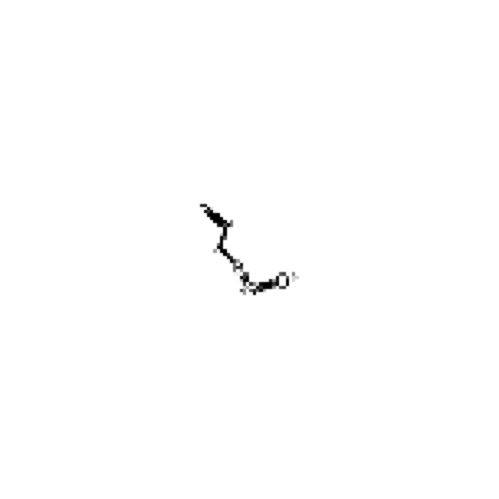 C=CCB=S=O